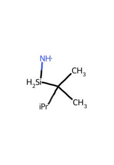 CC(C)C(C)(C)[SiH2][NH]